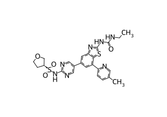 CCNC(=O)Nc1nc2cc(-c3cnc(NS(=O)(=O)[C@H]4CCOC4)nc3)cc(-c3ccc(C)cn3)c2s1